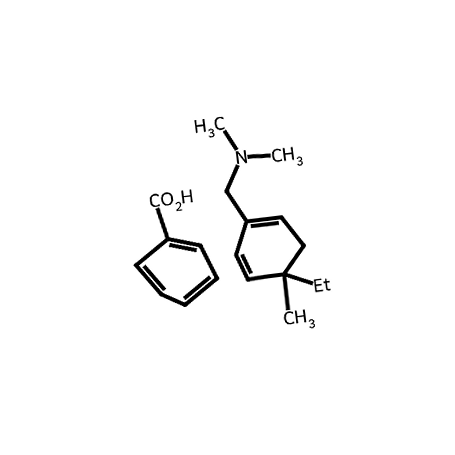 CCC1(C)C=CC(CN(C)C)=CC1.O=C(O)c1ccccc1